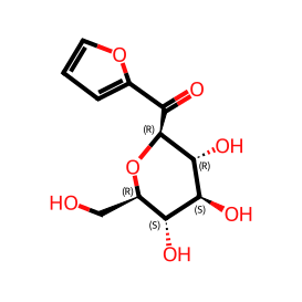 O=C(c1ccco1)[C@@H]1O[C@H](CO)[C@@H](O)[C@H](O)[C@H]1O